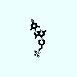 Cc1cc(N2CCC(CCOS(C)(=O)=O)CC2)c2c(C)cn(-c3c(C)cc(Br)cc3C)c2n1